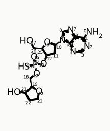 Nc1ncnc2c1ncn2[C@H]1CC(OP(=O)(S)OC[C@H]2OCCC2O)[C@@H](CO)O1